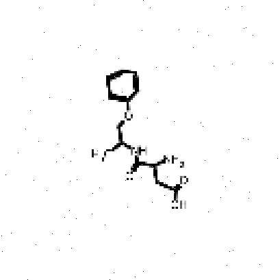 CC(COc1ccccc1)NC(=O)C(N)CC(=O)O